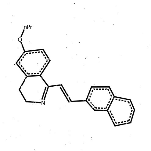 CCCOc1ccc2c(c1)CCN=C2C=Cc1ccc2ccccc2c1